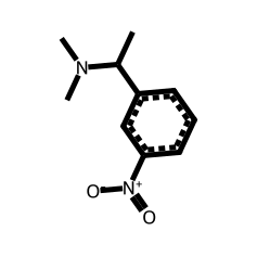 CC(c1cccc([N+](=O)[O-])c1)N(C)C